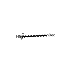 CCCCCCCCCCCCCCCCCCCCCCCCCCCC(=O)N(O)I